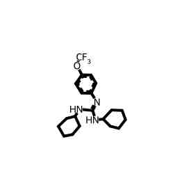 FC(F)(F)Oc1ccc(N=C(NC2CCCCC2)NC2CCCCC2)cc1